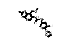 COCc1c(NC(=O)Nc2cnc(-n3nccn3)c(Cl)c2)cnc2sc(C)nc12